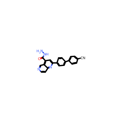 N#Cc1ccc(-c2ccc(-c3cc(C(=O)NN)c4cnccc4n3)cc2)cc1